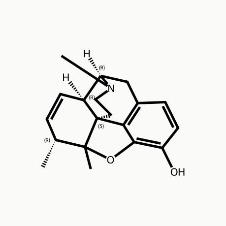 C[C@@H]1C=C[C@H]2[C@H]3Cc4ccc(O)c5c4[C@@]2(CCN3C)C1(C)O5